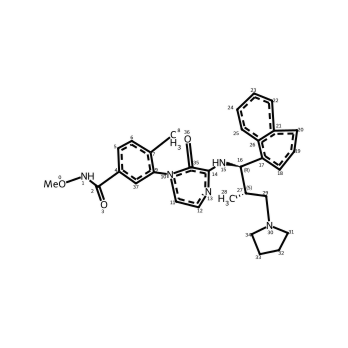 CONC(=O)c1ccc(C)c(-n2ccnc(N[C@@H](c3cccc4ccccc34)[C@@H](C)CN3CCCC3)c2=O)c1